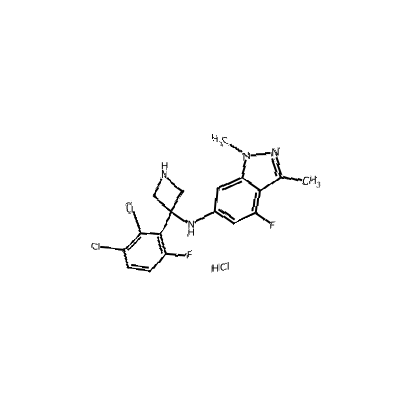 Cc1nn(C)c2cc(NC3(c4c(F)ccc(Cl)c4Cl)CNC3)cc(F)c12.Cl